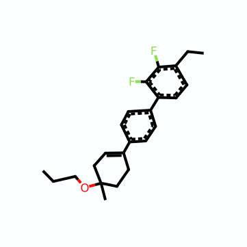 CCCOC1(C)CC=C(c2ccc(-c3ccc(CC)c(F)c3F)cc2)CC1